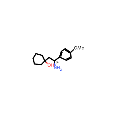 COc1ccc([C@@H](N)CC2(O)CCCCC2)cc1